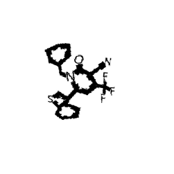 N#Cc1c(C(F)(F)F)cc(-c2csc3ccccc23)n(Cc2ccccc2)c1=O